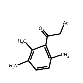 CC(=O)CC(=O)c1c(C)ccc(N)c1C